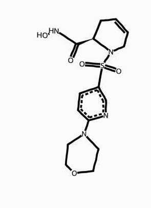 O=C(NO)[C@H]1CC=CCN1S(=O)(=O)c1ccc(N2CCOCC2)nc1